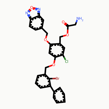 NCC(=O)OCc1cc(Cl)c(OCc2cccc(-c3ccccc3)c2Br)cc1OCc1ccc2nonc2c1